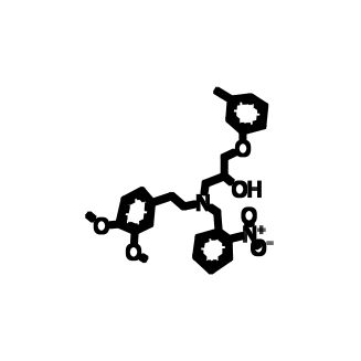 COc1ccc(CCN(Cc2ccccc2[N+](=O)[O-])CC(O)COc2cccc(C)c2)cc1OC